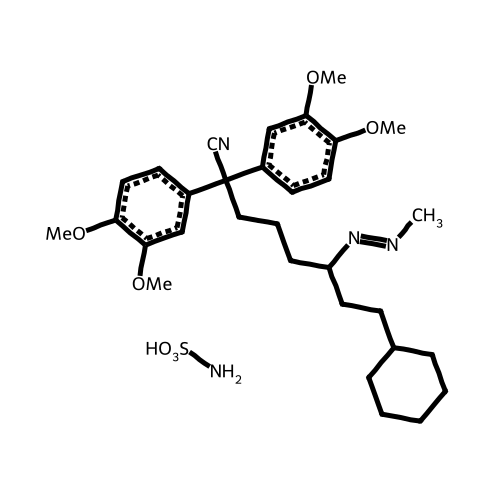 CN=NC(CCCC(C#N)(c1ccc(OC)c(OC)c1)c1ccc(OC)c(OC)c1)CCC1CCCCC1.NS(=O)(=O)O